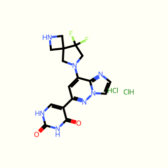 Cl.Cl.O=c1[nH]cc(-c2cc(N3CC(F)(F)C4(CNC4)C3)c3nccn3n2)c(=O)[nH]1